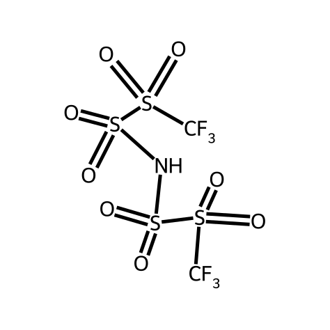 O=S(=O)(NS(=O)(=O)S(=O)(=O)C(F)(F)F)S(=O)(=O)C(F)(F)F